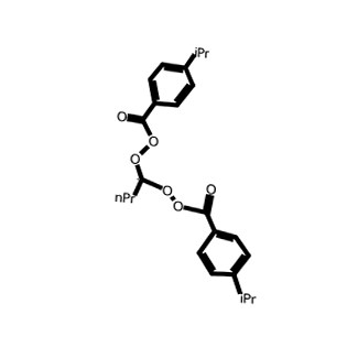 [CH2]CC[C](OOC(=O)c1ccc(C(C)C)cc1)OOC(=O)c1ccc(C(C)C)cc1